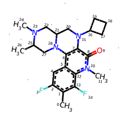 Cc1c(F)cc2c3c(c(=O)n(C)c2c1F)N(C1CCC1)CC1CN(C)C(C)CN31